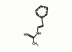 CC(=N)N/C=C/c1ccccc1